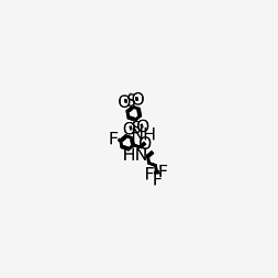 C=C(CCC(F)(F)F)NC(=O)c1ccc(F)cc1NS(=O)(=O)c1ccc(S(C)(=O)=O)cc1